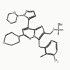 Cc1c(Cc2c(CO[Si](C)(C)C(C)(C)C)nc3c(-c4ccnn4C4CCCCO4)cc(N4CCOCC4)nn23)cccc1C(F)(F)F